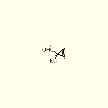 CCC1(C=O)C=C1